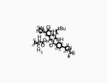 CC(C)(C)CCNC(=N)N(C(=O)c1ccc(-c2cnn(C(F)F)c2)cc1)[C@H](COC(=O)NC1(C)CC1)c1cc(-n2cncn2)c(Cl)cn1